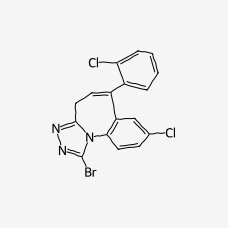 Clc1ccc2c(c1)C(c1ccccc1Cl)=CCc1nnc(Br)n1-2